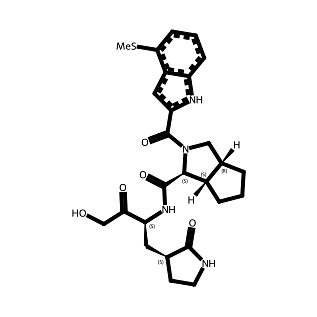 CSc1cccc2[nH]c(C(=O)N3C[C@@H]4CCC[C@@H]4[C@H]3C(=O)N[C@@H](C[C@@H]3CCNC3=O)C(=O)CO)cc12